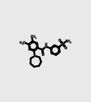 Cc1cc(C(=O)Nc2cccc(S(N)(=O)=O)c2)c(N2CCCCCC2)nc1C